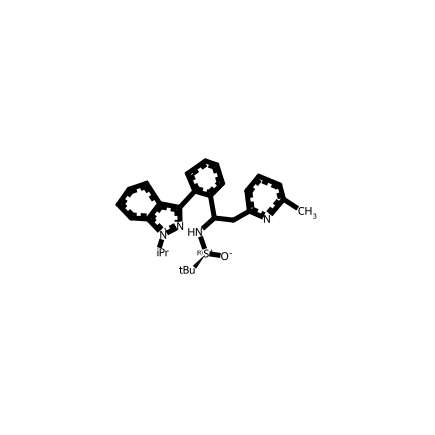 Cc1cccc(CC(N[S@@+]([O-])C(C)(C)C)c2ccccc2-c2nn(C(C)C)c3ccccc23)n1